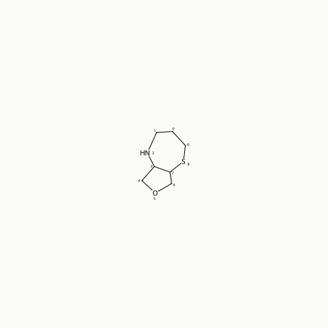 C1CNC2COCC2SC1